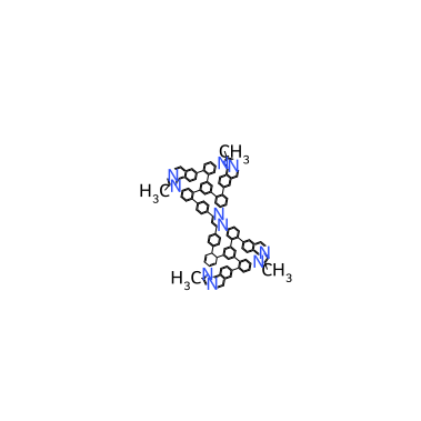 Cc1cn2ccc3cc(-c4ccccc4-c4cc(-c5ccccc5-c5ccc(-c6cc(-c7ccc(C8C=CC=CC8c8cc(-c9ccccc9-c9ccc%10c(ccn%11cc(C)nc%10%11)c9)cc(-c9ccccc9-c9ccc%10c(ccn%11cc(C)nc%10%11)c9)c8)cc7)ncn6)cc5)cc(-c5ccccc5-c5ccc6c(ccn7cc(C)nc67)c5)c4)ccc3c2n1